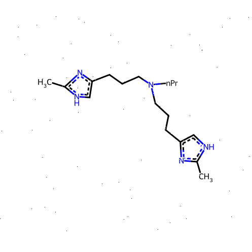 CCCN(CCCc1c[nH]c(C)n1)CCCc1c[nH]c(C)n1